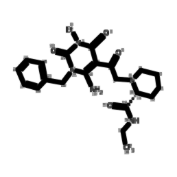 CCn1c(=O)c(C(=O)CN2CCCC[C@@H]2C(=O)NCC(F)(F)F)c(N)n(Cc2ccccc2)c1=O